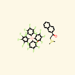 C[S+](C)CC(=O)c1ccc2ccccc2c1.Fc1c(F)c(F)c([B-](c2c(F)c(F)c(F)c(F)c2F)(c2c(F)c(F)c(F)c(F)c2F)c2c(F)c(F)c(F)c(F)c2F)c(F)c1F